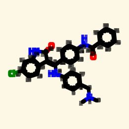 CN(C)Cc1ccc(NC(=C2C(=O)Nc3cc(Cl)ccc32)c2ccc(NC(=O)c3ccccc3)cc2)cc1